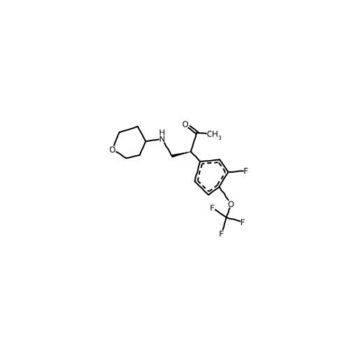 CC(=O)[C@H](CNC1CCOCC1)c1ccc(OC(F)(F)F)c(F)c1